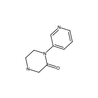 O=C1C[N]CCN1c1cccnc1